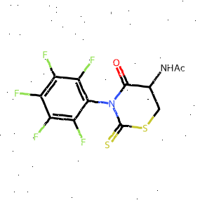 CC(=O)NC1CSC(=S)N(c2c(F)c(F)c(F)c(F)c2F)C1=O